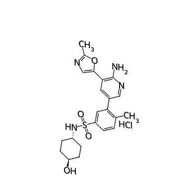 Cc1ncc(-c2cc(-c3cc(S(=O)(=O)N[C@H]4CC[C@H](O)CC4)ccc3C)cnc2N)o1.Cl